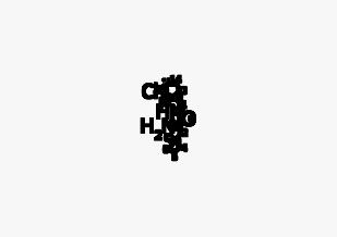 N[C@@H](Cc1cccs1)C(=O)NCc1cccc(Cl)c1F